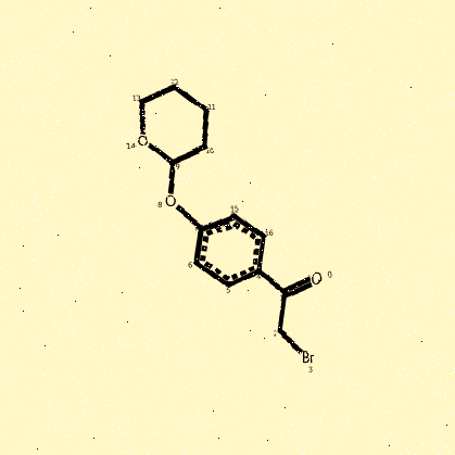 O=C(CBr)c1ccc(OC2CCCCO2)cc1